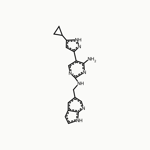 Nc1nc(NCc2cnc3[nH]ccc3c2)ncc1-c1cc(C2CC2)[nH]n1